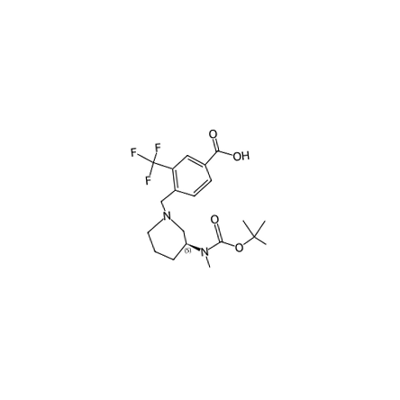 CN(C(=O)OC(C)(C)C)[C@H]1CCCN(Cc2ccc(C(=O)O)cc2C(F)(F)F)C1